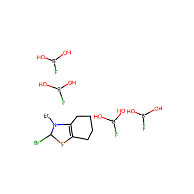 CCN1C2=C(CCCC2)SC1Br.OB(O)F.OB(O)F.OB(O)F.OB(O)F